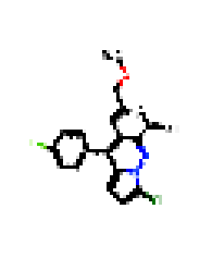 COCC=Cc1c(C(C)C)nn2c(Cl)ccc2c1-c1ccc(F)cc1